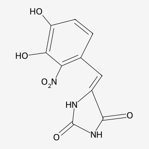 O=C1NC(=O)C(=Cc2ccc(O)c(O)c2[N+](=O)[O-])N1